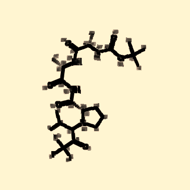 CC(C)C(C(=O)C(F)(F)F)N1CCC[C@H]1C(=O)NC(=O)[C@H](C)NC(=O)[C@H](C)NC(=O)OC(C)(C)C